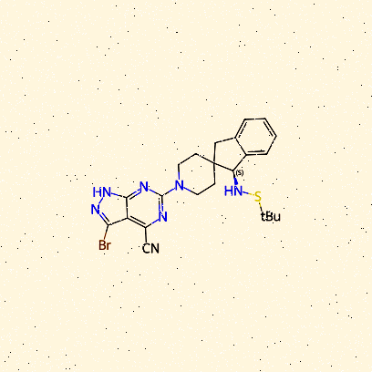 CC(C)(C)SN[C@@H]1c2ccccc2CC12CCN(c1nc(C#N)c3c(Br)n[nH]c3n1)CC2